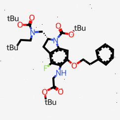 CC(C)(C)CCN(C[C@H]1Cc2c(cc(OCCc3ccccc3)c(NCC(=O)OC(C)(C)C)c2F)N1C(=O)OC(C)(C)C)C(=O)OC(C)(C)C